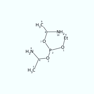 CCOP(OC(C)N)OC(C)N